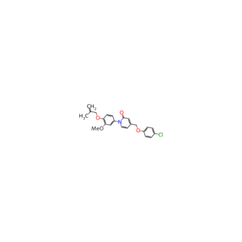 C=C(C)COc1ccc(-n2ccc(COc3ccc(Cl)cc3)cc2=O)cc1OC